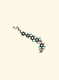 CCCCCc1ccc(-c2ccc(-c3cc(F)c(-c4cc(F)c(C(F)(F)Oc5cc(F)c(C(F)(F)OC(F)(F)F)c(F)c5)c(F)c4)c(F)c3)c(F)c2)cc1